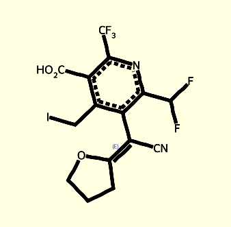 N#C/C(=C1\CCCO1)c1c(C(F)F)nc(C(F)(F)F)c(C(=O)O)c1CI